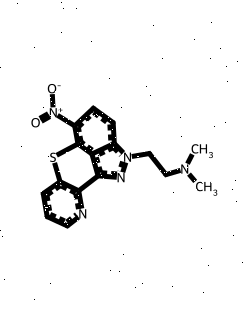 CN(C)CCn1nc2c3c(c([N+](=O)[O-])ccc31)Sc1cccnc1-2